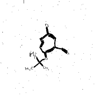 CC(C)(C)Oc1ccc(Cl)cc1C#N